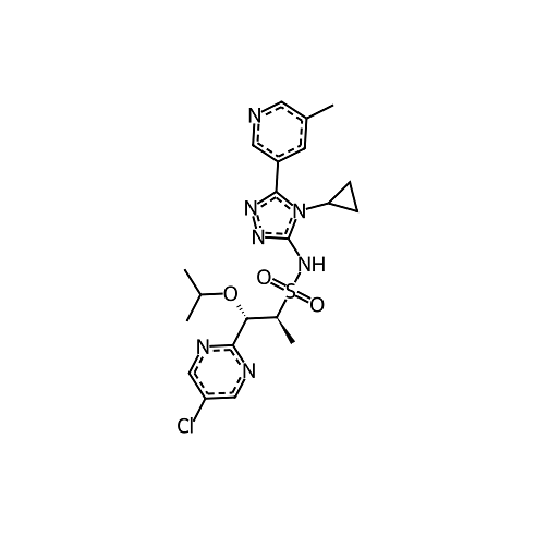 Cc1cncc(-c2nnc(NS(=O)(=O)[C@@H](C)[C@@H](OC(C)C)c3ncc(Cl)cn3)n2C2CC2)c1